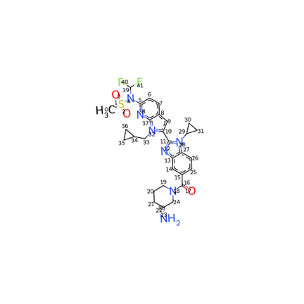 CS(=O)(=O)N(c1ccc2cc(-c3nc4cc(C(=O)N5CCC[C@@H](N)C5)ccc4n3C3CC3)n(CC3CC3)c2n1)C(F)F